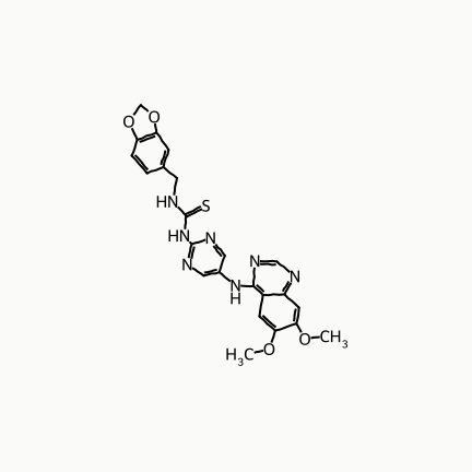 COc1cc2ncnc(Nc3cnc(NC(=S)NCc4ccc5c(c4)OCO5)nc3)c2cc1OC